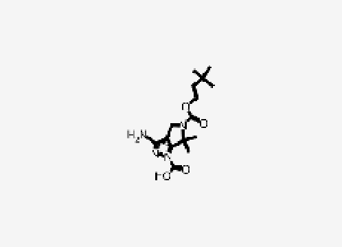 CC(C)(C)CCOC(=O)N1Cc2c(N)nn(C(=O)O)c2C1(C)C